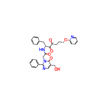 O=C(Cn1c(-c2ccccc2)ncc(CO)c1=O)NC(Cc1ccccc1)C(=O)C(=O)CCCOc1ccccn1